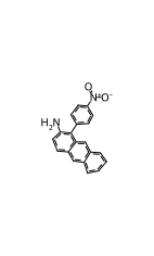 Nc1ccc2cc3ccccc3cc2c1-c1ccc([N+](=O)[O-])cc1